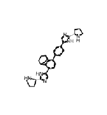 c1cc(-c2ccc(-c3cnc([C@@H]4CCCN4)[nH]3)c3c2C2CCC3CC2)ccc1-c1cnc([C@@H]2CCCN2)[nH]1